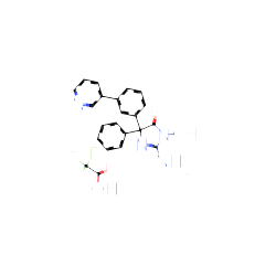 CN1C(=O)C(c2ccccc2)(c2cccc(-c3cccnc3)c2)N=C1N.O=C(O)C(F)(F)F